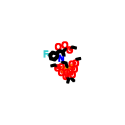 CCOOP(=O)(OOCC)C(CCn1cc(C(=O)OCC)c(=O)c2cc(F)ccc21)P(=O)(OOCC)OOCC